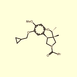 COc1ccc([C@@H]2CN(C(=O)[C](C)C)C[C@@]2(C)[C@@H](C)O)cc1OCC1CC1